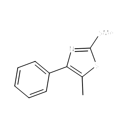 CSc1nc(-c2ccccc2)c(C)s1